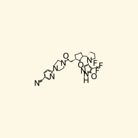 N#Cc1ccc(N2CCN(C(=O)C[C@H]3CC[C@@H]([C@@H]4CCCN4c4cn[nH]c(=O)c4C(F)(F)F)C3=O)CC2)nc1